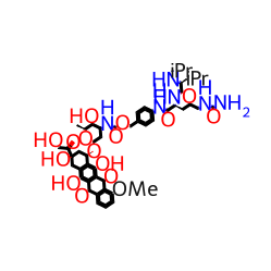 COc1cccc2c1C(=O)c1c(O)c3c(c(O)c1C2=O)C[C@@](O)(C(=O)CO)C[C@@H]3O[C@H]1C[C@H](NC(=O)OCc2ccc(NC(=O)[C@H](CCCNC(N)=O)NC(=O)[C@@H](NC(C)C)C(C)C)cc2)[C@@H](O)[C@H](C)O1